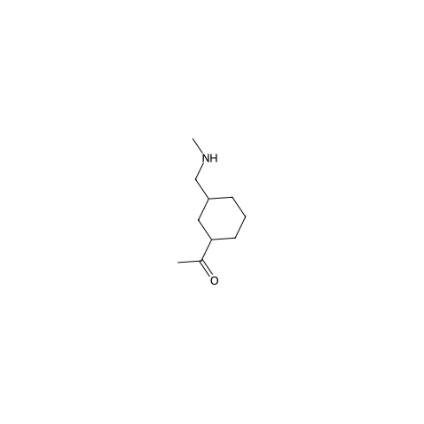 CNCC1CCCC(C(C)=O)C1